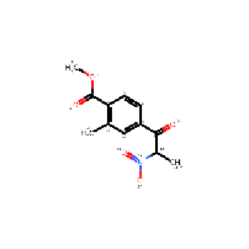 COC(=O)c1ccc(C(=O)C(C)[N+](=O)[O-])cc1C